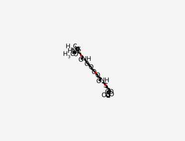 CC(=O)N[C@@H]1[C@H](CCCCC(=O)NCCOCCOCCOCCOCCC(=O)NCCSSCCC(=O)ON2C(=O)CCC2=O)SC[C@@H]1C